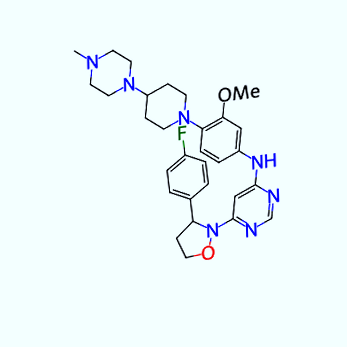 COc1cc(Nc2cc(N3OCCC3c3ccc(F)cc3)ncn2)ccc1N1CCC(N2CCN(C)CC2)CC1